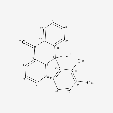 O=C1c2ccccc2C(Cl)(c2cccc(Cl)c2Cl)c2ccccc21